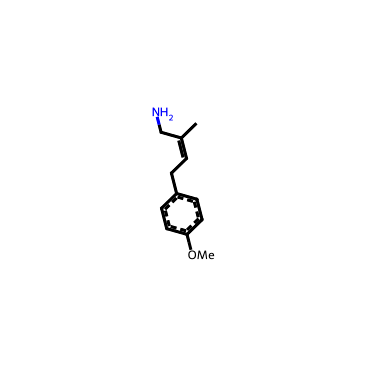 COc1ccc(CC=C(C)CN)cc1